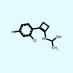 CC(O)NC1=C(c2ccc(F)cc2Cl)CC1